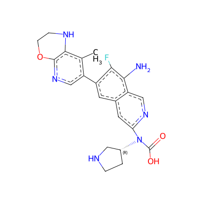 Cc1c(-c2cc3cc(N(C(=O)O)[C@@H]4CCNC4)ncc3c(N)c2F)cnc2c1NCCO2